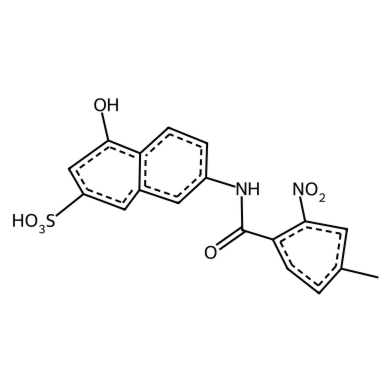 Cc1ccc(C(=O)Nc2ccc3c(O)cc(S(=O)(=O)O)cc3c2)c([N+](=O)[O-])c1